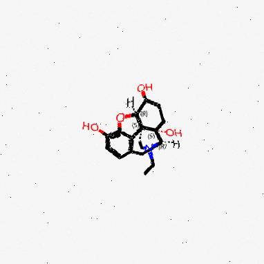 CCN1CC[C@]23c4c5ccc(O)c4O[C@H]2C(O)CC[C@@]3(O)[C@H]1C5